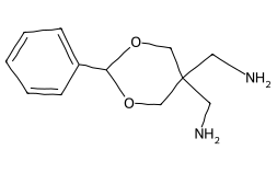 NCC1(CN)COC(c2ccccc2)OC1